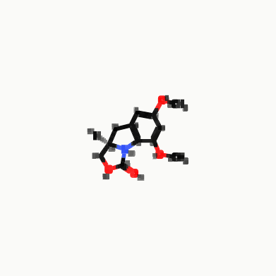 COc1cc2c(c(OC)c1)N1C(=O)OC[C@H]1C2